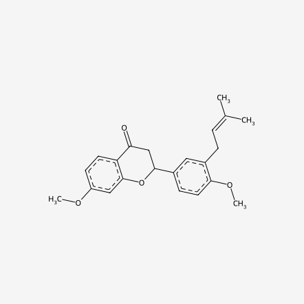 COc1ccc2c(c1)OC(c1ccc(OC)c(CC=C(C)C)c1)CC2=O